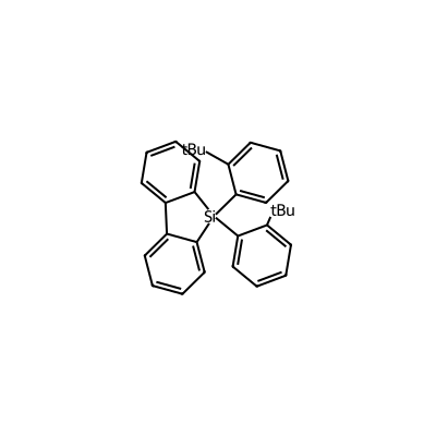 CC(C)(C)c1ccccc1[Si]1(c2ccccc2C(C)(C)C)c2ccccc2-c2ccccc21